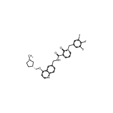 CN1CC[C@@H](COc2ccnc3ccc(CNC(=O)c4cccn(Cc5cc(F)c(F)c(F)c5)c4=O)cc23)C1